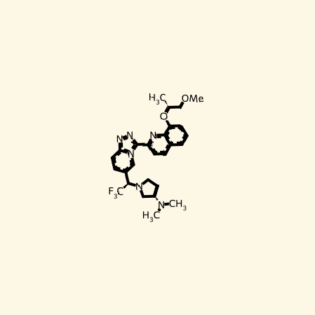 COC[C@@H](C)Oc1cccc2ccc(-c3nnc4ccc([C@@H](N5CC[C@H](N(C)C)C5)C(F)(F)F)cn34)nc12